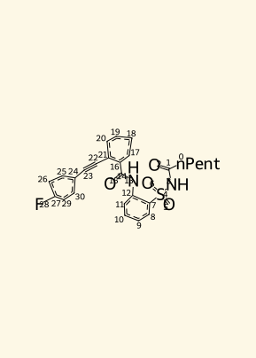 CCCCCC(=O)NS(=O)(=O)c1ccccc1NC(=O)c1ccccc1C#Cc1ccc(F)cc1